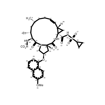 CC[C@@H]1C[C@H](C)CCC=C[C@@H]2C[C@@]2(C(=O)NS(=O)(=O)C2CC2)NC(=O)[C@@H]2C[C@@H](Oc3nccc4cc(OC)ccc34)CN2C(=O)[C@H]1NC(=O)O